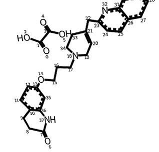 O=C(O)C(=O)O.O=C1CCc2ccc(OCCCN3CC=C(Cc4ccc5ccccc5n4)CC3)cc2N1